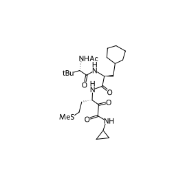 CSCC[C@H](NC(=O)[C@H](CC1CCCCC1)NC(=O)[C@@H](NC(C)=O)C(C)(C)C)C(=O)C(=O)NC1CC1